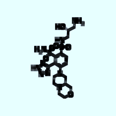 NC[C@@H](O)CNS(=O)(=O)c1ccc(N2CCN3CCOCC3C2)c(-c2nn[nH]n2)c1S(N)(=O)=O